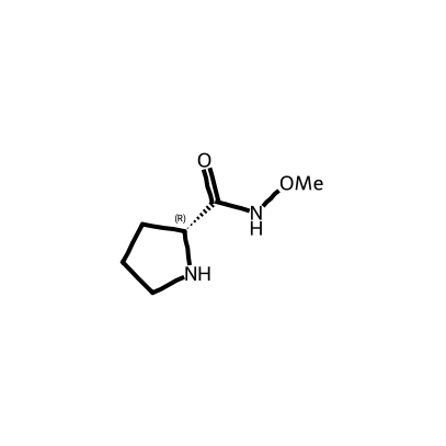 CONC(=O)[C@H]1CCCN1